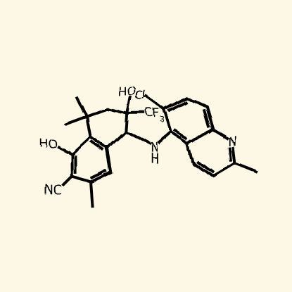 Cc1ccc2c(NC3c4cc(C)c(C#N)c(O)c4C(C)(C)CC3(O)C(F)(F)F)c(Cl)ccc2n1